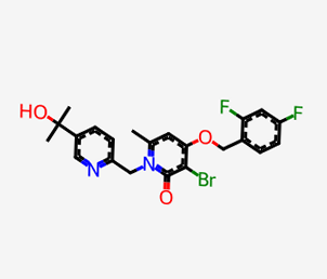 Cc1cc(OCc2ccc(F)cc2F)c(Br)c(=O)n1Cc1ccc(C(C)(C)O)cn1